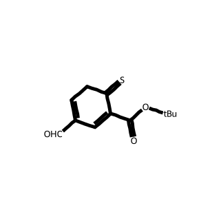 CC(C)(C)OC(=O)C1=CC(C=O)=CCC1=S